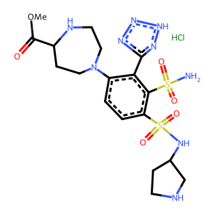 COC(=O)C1CCN(c2ccc(S(=O)(=O)NC3CCNC3)c(S(N)(=O)=O)c2-c2nn[nH]n2)CCN1.Cl